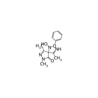 CC(=N)C1(N(O)Oc2ccccc2)C(=O)N(C)N=C1C